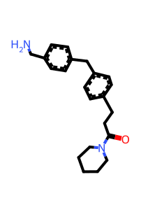 NCc1ccc(Cc2ccc(CCC(=O)N3CCCCC3)cc2)cc1